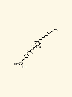 C\C=C/C=C/C=C(C)/C=C/C=C(C)/C=C/C1=C(C)C(=O)C(OC(=O)CCC(=O)Oc2ccc(/C=C/c3cc(O)cc(O)c3)cc2)CC1(C)C